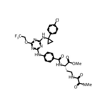 CNC(=O)C(=O)NCC[C@H](NC(=O)c1ccc(Nc2nc(NC3(c4ccc(Cl)cc4)CC3)nc(OCC(F)(F)F)n2)cc1)C(=O)OC